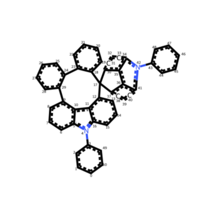 c1ccc(-n2c3cccc4c3c3c(cccc32)C2(c3ccccc3-c3ccccc3-4)c3cccc4c3c3c2cccc3n4-c2ccccc2)cc1